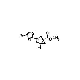 COC(=O)[C@]12C[C@H]1CN(c1nc(Br)cs1)C2